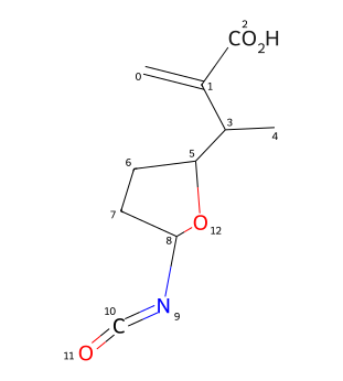 C=C(C(=O)O)C(C)C1CCC(N=C=O)O1